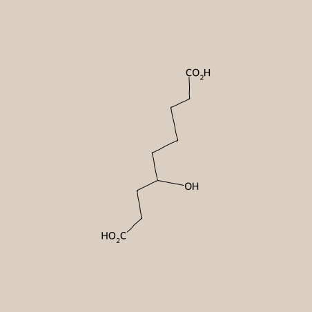 O=C(O)CCCCC(O)CCC(=O)O